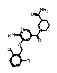 NC(=O)C1CCCN(C(=O)c2cnc(N)c(OCc3c(Cl)cccc3Cl)c2)C1